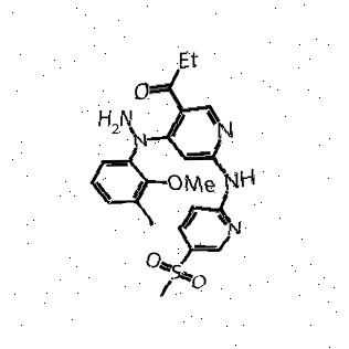 CCC(=O)c1cnc(Nc2ccc(S(C)(=O)=O)cn2)cc1N(N)c1cccc(C)c1OC